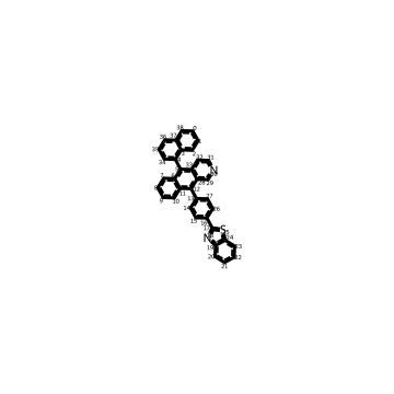 c1ccc2c(-c3c4ccccc4c(-c4ccc(-c5nc6ccccc6s5)cc4)c4cnccc34)cccc2c1